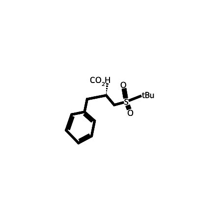 CC(C)(C)S(=O)(=O)C[C@H](Cc1ccccc1)C(=O)O